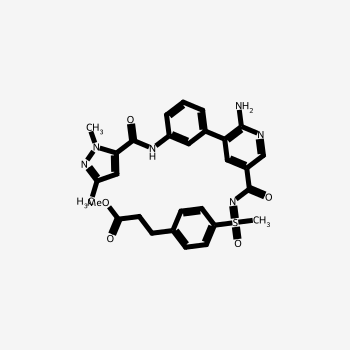 COC(=O)CCc1ccc(S(C)(=O)=NC(=O)c2cnc(N)c(-c3cccc(NC(=O)c4cc(C)nn4C)c3)c2)cc1